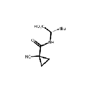 CC(C)(C)[C@H](NC(=O)C1(C#N)CC1)C(=O)O